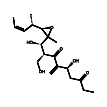 C=C(C(=O)[C@H](CO)[C@H](O)C1(C)O[C@@H]1[C@@H](C)/C=C\C)[C@@H](O)CC(=O)CC